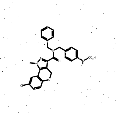 Cn1nc(C(=O)N(Cc2ccccc2)Cc2ccc(NC(=O)O)cc2)c2c1-c1cc(Cl)ccc1OC2